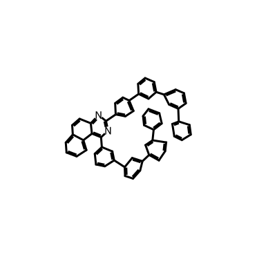 c1ccc(-c2cccc(-c3cccc(-c4ccc(-c5nc(-c6cccc(-c7cccc(-c8cccc(-c9ccccc9)c8)c7)c6)c6c(ccc7ccccc76)n5)cc4)c3)c2)cc1